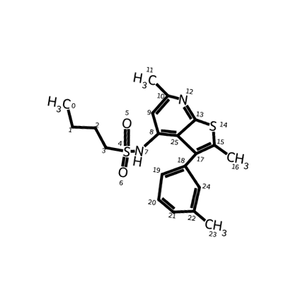 CCCCS(=O)(=O)Nc1cc(C)nc2sc(C)c(-c3cccc(C)c3)c12